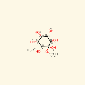 O=C(O)O[C@]1(O)[C@H](O)[C@H](O)[C@@H](O)[C@H](O)[C@H]1O.[CaH2]